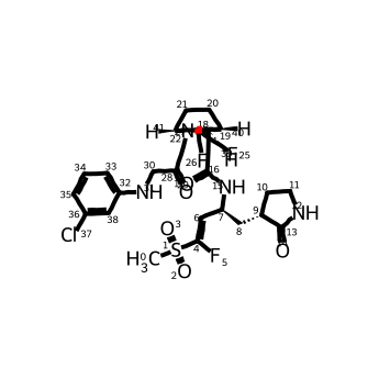 CS(=O)(=O)/C(F)=C/[C@H](C[C@@H]1CCNC1=O)NC(=O)[C@@H]1[C@H]2CC[C@H](CC2(F)F)N1C(=O)CNc1cccc(Cl)c1